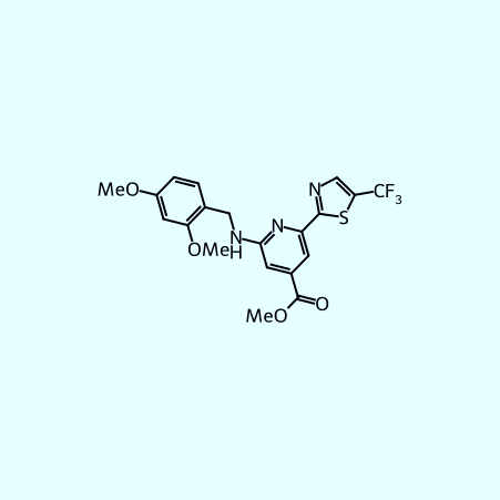 COC(=O)c1cc(NCc2ccc(OC)cc2OC)nc(-c2ncc(C(F)(F)F)s2)c1